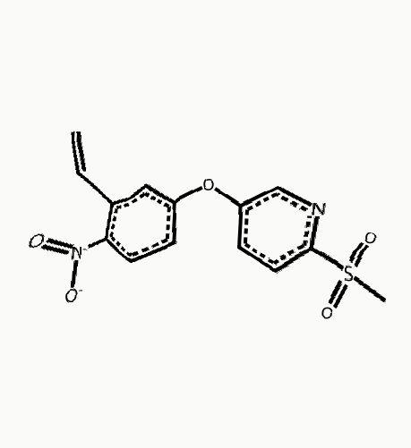 C=Cc1cc(Oc2ccc(S(C)(=O)=O)nc2)ccc1[N+](=O)[O-]